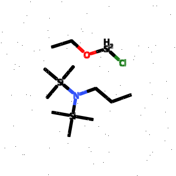 CCCN([Si](C)(C)C)[Si](C)(C)C.CCO[SiH2]Cl